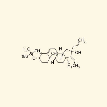 C=CCC1(O)C[C@H]2[C@@H]3CC=C4C[C@@H](O[Si](C)(C)C(C)(C)C)CCC4(C)[C@H]3CC[C@]2(C)/C1=C\C